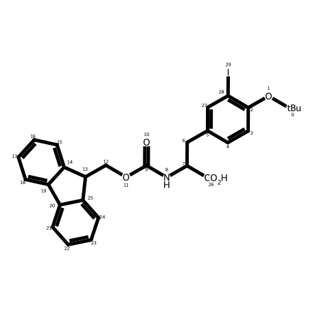 CC(C)(C)Oc1ccc(CC(NC(=O)OCC2c3ccccc3-c3ccccc32)C(=O)O)cc1I